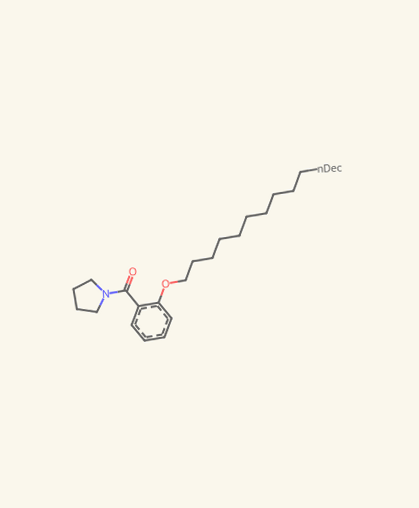 CCCCCCCCCCCCCCCCCCCCOc1ccccc1C(=O)N1CCCC1